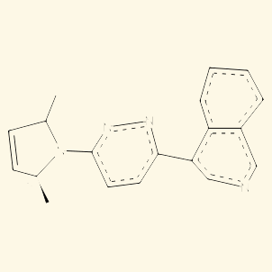 CC1C=C[C@H](C)N1c1ccc(-c2cncc3ccccc23)nn1